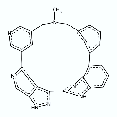 CN1Cc2cncc(c2)-c2cc3c(n[nH]c3cn2)-c2nc3c(cccc3[nH]2)-c2cccc(c2)C1